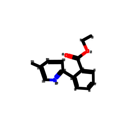 CCOC(=O)c1ccccc1-c1ccc(C)cn1